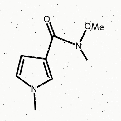 CON(C)C(=O)c1ccn(C)c1